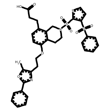 Cc1oc(-c2ccccc2)nc1CCOc1ccc(CCC(=O)O)c2c1CCN(S(=O)(=O)c1sccc1S(=O)(=O)c1ccccc1)C2